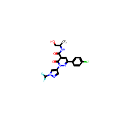 O=C(NC(CO)C(F)(F)F)c1cc(-c2ccc(Cl)cc2)nn(-c2cnn(C(F)F)c2)c1=O